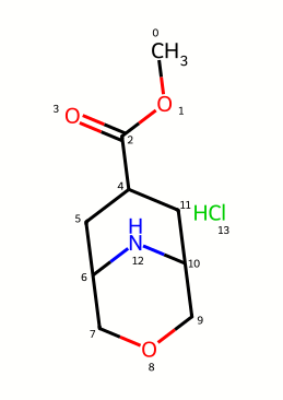 COC(=O)C1CC2COCC(C1)N2.Cl